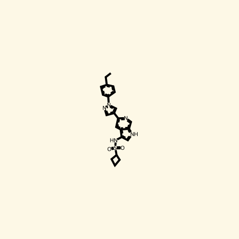 CCc1ccc(-n2cc(-c3cc4c(NS(=O)(=O)C5CCC5)c[nH]c4cn3)cn2)cc1